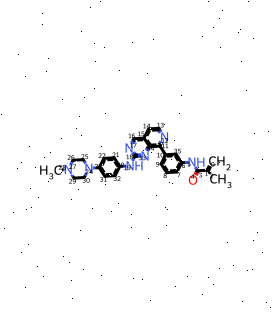 C=C(C)C(=O)Nc1cccc(-c2nccc3cnc(Nc4ccc(N5CCN(C)CC5)cc4)nc23)c1